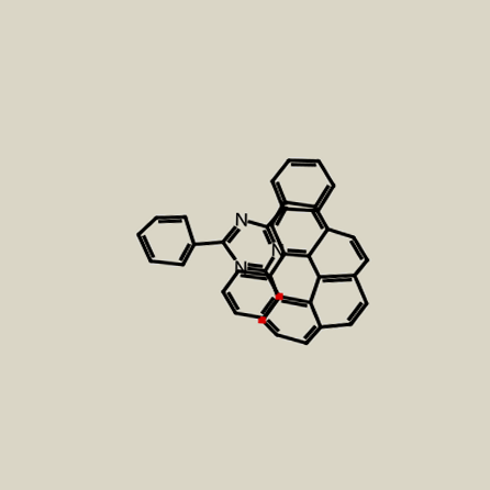 c1ccc(-c2nc(-c3ccccc3)nc(-c3cccc4ccc5ccc6cccc(-c7ccccc7)c6c5c34)n2)cc1